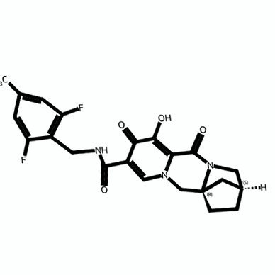 Cc1cc(F)c(CNC(=O)c2cn3c(c(O)c2=O)C(=O)N2C[C@H]4CC[C@@]2(C4)C3)c(F)c1